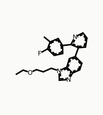 CCOCCCn1cnc2ccc(-c3cccnc3-c3ccc(F)c(C)c3)cc21